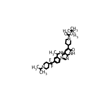 CC(C)N1CCC(C(F)(F)c2cccc([C@@H](C)Nc3ncnc4[nH]c(=O)c(C5CCN(C(=O)OC(C)(C)C)CC5)cc34)c2)CC1